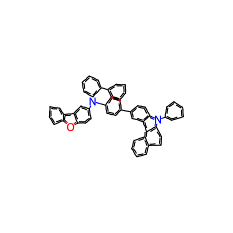 c1ccc(-c2ccccc2N(c2ccc(-c3ccc4c(c3)c3c5ccccc5ccc3n4-c3ccccc3)cc2)c2ccc3oc4ccccc4c3c2)cc1